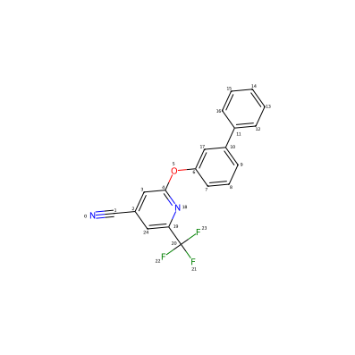 N#Cc1cc(Oc2cccc(-c3ccccc3)c2)nc(C(F)(F)F)c1